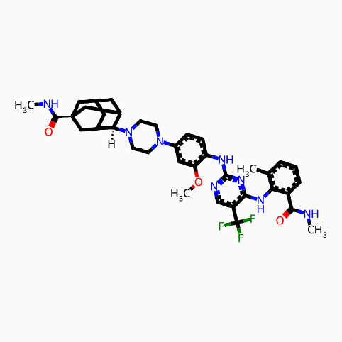 CNC(=O)c1cccc(C)c1Nc1nc(Nc2ccc(N3CCN([C@H]4C5CC6CC4C[C@@](C(=O)NC)(C6)C5)CC3)cc2OC)ncc1C(F)(F)F